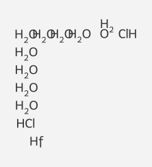 Cl.Cl.O.O.O.O.O.O.O.O.O.[Hf]